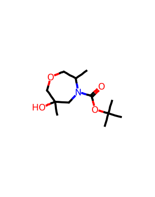 CC1COCC(C)(O)CN1C(=O)OC(C)(C)C